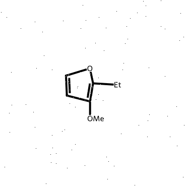 [CH2]Cc1occc1OC